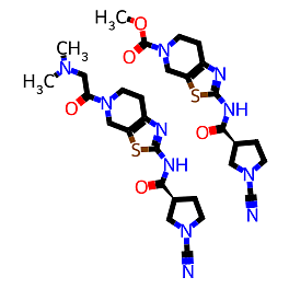 CN(C)CC(=O)N1CCc2nc(NC(=O)[C@H]3CCN(C#N)C3)sc2C1.COC(=O)N1CCc2nc(NC(=O)[C@H]3CCN(C#N)C3)sc2C1